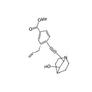 C=CCc1cc(C(=O)OC)ccc1C#CC1C(O)C2CCN1CC2